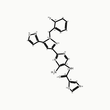 Nc1nc(-c2cc(-c3ccon3)n(CC3=CC=CCC3F)n2)ncc1NC(=O)c1cnco1